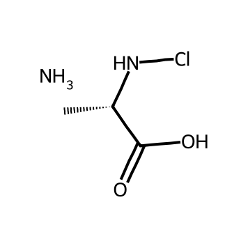 C[C@H](NCl)C(=O)O.N